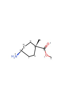 COC(=O)[C@]1(C)CC[C@@H](N)CC1